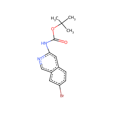 CC(C)(C)OC(=O)Nc1cc2ccc(Br)cc2cn1